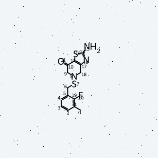 Cc1cccc(CSN2CC(=O)c3sc(N)nc3C2)c1F